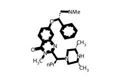 CCC[C@@H](c1nc2cc(O[C@H](CNC)c3ccccc3)ccc2c(=O)n1C)N1C[C@@H](C)N[C@@H](C)C1